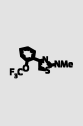 CNc1nc(-c2ccccc2OC(F)(F)F)cs1